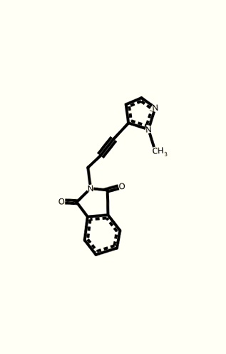 Cn1nccc1C#CCN1C(=O)c2ccccc2C1=O